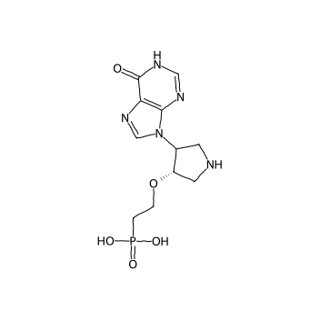 O=c1[nH]cnc2c1ncn2C1CNC[C@@H]1OCCP(=O)(O)O